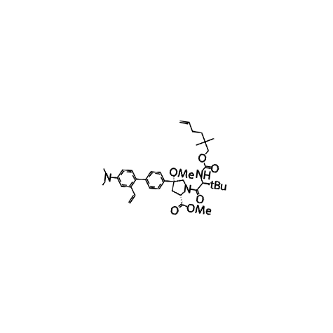 C=CCCC(C)(C)COC(=O)N[C@H](C(=O)N1C[C@](OC)(c2ccc(-c3ccc(N(C)C)cc3C=C)cc2)C[C@H]1C(=O)OC)C(C)(C)C